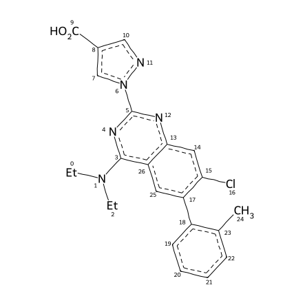 CCN(CC)c1nc(-n2cc(C(=O)O)cn2)nc2cc(Cl)c(-c3ccccc3C)cc12